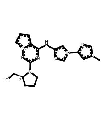 Cn1cnc(-n2cnc(Nc3nc(N4CCC[C@H]4CO)nn4cccc34)c2)c1